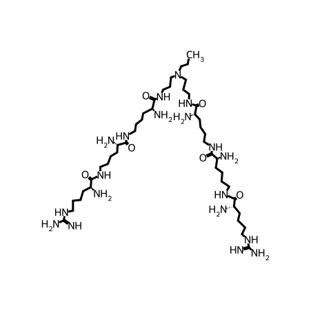 CCCN(CCCNC(=O)[C@@H](N)CCCCNC(=O)[C@@H](N)CCCCNC(=O)[C@@H](N)CCCCNC(=N)N)CCCNC(=O)[C@@H](N)CCCCNC(=O)[C@@H](N)CCCCNC(=O)[C@@H](N)CCCCNC(=N)N